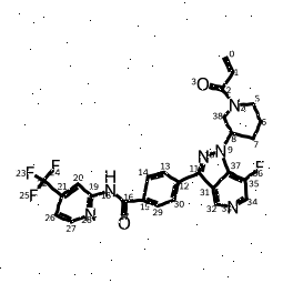 C=CC(=O)N1CCCC(n2nc(-c3ccc(C(=O)Nc4cc(C(F)(F)F)ccn4)cc3)c3cncc(F)c32)C1